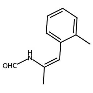 C/C(=C/c1ccccc1C)NC=O